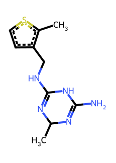 Cc1sccc1CNC1=NC(C)N=C(N)N1